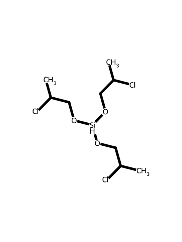 CC(Cl)CO[SiH](OCC(C)Cl)OCC(C)Cl